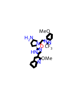 COc1ccc2nc(C(F)(F)F)n(CC(=O)N3C[C@H](N)CC[C@H]3c3ncc(-c4cc5ccccc5nc4OC)[nH]3)c2c1